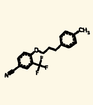 Cc1ccc(CCCOc2ccc(C#N)cc2C(F)(F)F)cc1